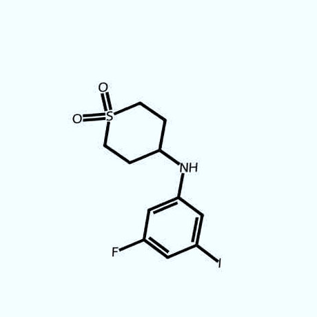 O=S1(=O)CCC(Nc2cc(F)cc(I)c2)CC1